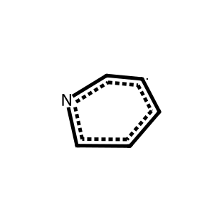 [c]1cccnc1